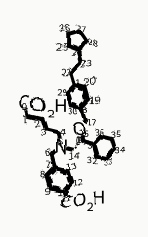 O=C(O)CCCCN(Cc1ccc(C(=O)O)cc1)C[C@H](OCc1ccc(CCC2CCCC2)cc1)C1=CC=CCC1